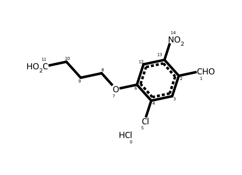 Cl.O=Cc1cc(Cl)c(OCCCC(=O)O)cc1[N+](=O)[O-]